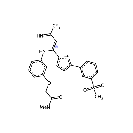 CNC(=O)COc1cccc(N/C(=C\C(=N)C(F)(F)F)c2ccc(-c3cccc(S(C)(=O)=O)c3)s2)c1